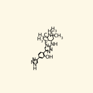 CC1(C)C[C@H](Nc2ncc(-c3ccc(-c4c[nH]nn4)cc3O)nn2)[C@H](F)C(C)(C)N1